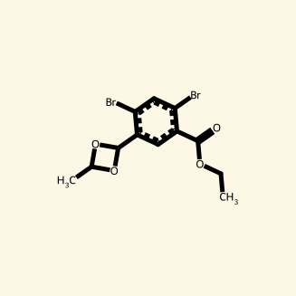 CCOC(=O)c1cc(C2OC(C)O2)c(Br)cc1Br